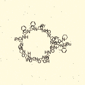 CC[C@H](C)[C@H](NC(=O)[C@H](Cc1ccccc1)NC(=O)[C@@H]1CC(=O)N[C@@H](C)C(=O)N[C@@H]([C@@H](C)O)C(=O)N(C)CC(=O)N[C@@H](CC(C)C)C(=O)N2CCC[C@H]2C(=O)N(C)[C@@H](CC(C)C)C(=O)N[C@@H](Cc2ccccc2)C(=O)N(C)[C@@H](Cc2ccccc2)C(=O)N(C)[C@@H](CC(C)C)C(=O)N[C@@H](C)C(=O)N(C)[C@@H](CC(C)C)C(=O)N1)C(=O)N1CCCCC1